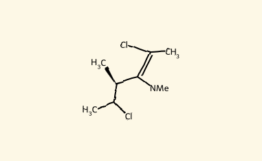 CN/C(=C(\C)Cl)[C@H](C)C(C)Cl